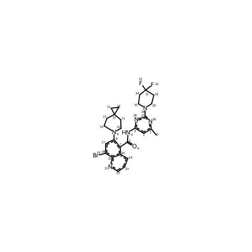 Cc1cc(NC(=O)c2c(N3CCC4(CC3)CC4)cc(Br)c3ncccc23)nc(N2CCC(F)(F)CC2)n1